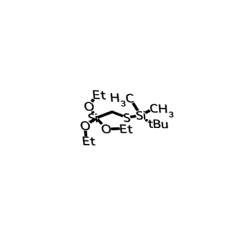 CCO[Si](CS[Si](C)(C)C(C)(C)C)(OCC)OCC